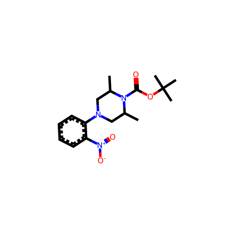 CC1CN(c2ccccc2[N+](=O)[O-])CC(C)N1C(=O)OC(C)(C)C